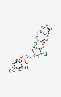 O=S(=O)(NCc1cc(Cl)c(OC2=Cc3ccccc3CN=C2)c(Cl)c1)c1ccc(Cl)cc1Cl